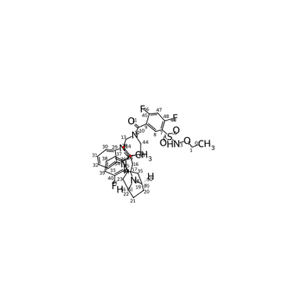 CCONS(=O)(=O)c1cc(C(=O)N2CCC(CCN3[C@@H]4CC[C@H]3C[C@@H](n3c(C)nc5ccccc53)C4)(c3cccc(F)c3)CC2)c(F)cc1F